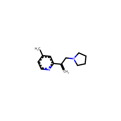 C=C(CN1CCCC1)c1cc(C)ccn1